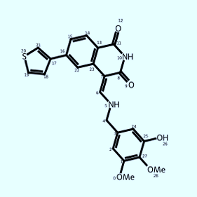 COc1cc(CN/C=C2\C(=O)NC(=O)c3ccc(-c4ccsc4)cc32)cc(O)c1OC